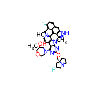 C#Cc1c(F)ccc2cc3[nH]ncc3c(-c3nccc4c5c(N6CCOC[C@@](C)(O)C6)nc(OC[C@@]67CCCN6C[C@H](F)C7)nc5n(C)c34)c12